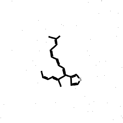 C\C=C/C=C(C)/C(=C\C=C\C=C/C=C(C)C)c1ccsc1